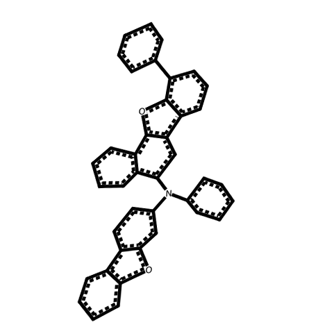 c1ccc(-c2cccc3c2oc2c4ccccc4c(N(c4ccccc4)c4ccc5c(c4)oc4ccccc45)cc32)cc1